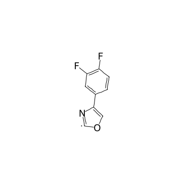 Fc1ccc(-c2co[c]n2)cc1F